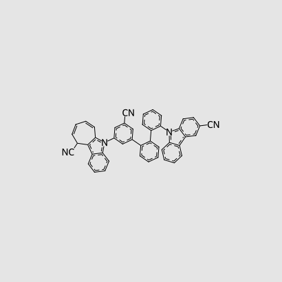 N#Cc1cc(-c2ccccc2-c2ccccc2-n2c3ccccc3c3cc(C#N)ccc32)cc(-n2c3c(c4ccccc42)C(C#N)C=CC=C3)c1